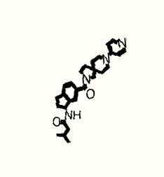 CC(C)CC(=O)N[C@@H]1CCc2ccc(C(=O)N3CCC4(CCN(c5ccncc5)CC4)C3)cc21